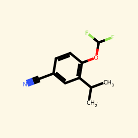 [CH2]C(C)c1cc(C#N)ccc1OC(F)F